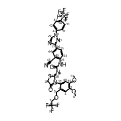 COc1cc(COCC(F)(F)F)c(N2C(=O)CSC2=NC(=O)Nc2ccc(-c3ncn(-c4ccc(S(F)(F)(F)(F)F)cc4)n3)cc2C#N)cc1OC